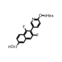 CCCCCCCCc1ccc2c(F)c(-c3ccc(OCCCCCC)nc3)c(F)cc2c1